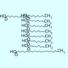 CCCCCCCCCC(=O)O.CCCCCCCCCC(=O)O.CCCCCCCCCC(=O)O.CCCCCCCCCC(=O)O.CCCCCCCCCC(=O)O.CCCCCCCCCC(=O)O.CCCCCCCCCC(=O)O.CCCCCCCCCC(=O)O.CCCCCCCCCCCCCCCCCCCCCC(=O)O